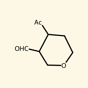 CC(=O)C1CCOCC1C=O